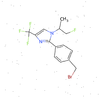 CC(CF)n1cc(C(F)(F)F)nc1-c1ccc(CBr)cc1